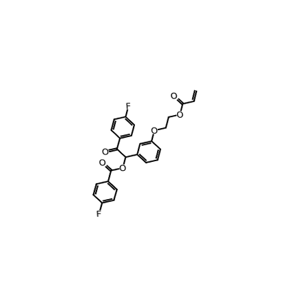 C=CC(=O)OCCOc1cccc(C(OC(=O)c2ccc(F)cc2)C(=O)c2ccc(F)cc2)c1